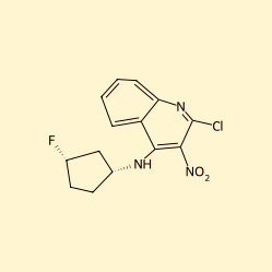 O=[N+]([O-])c1c(Cl)nc2ccccc2c1N[C@@H]1CC[C@H](F)C1